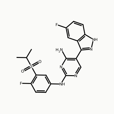 CC(C)S(=O)(=O)c1cc(Nc2ncc(-c3n[nH]c4ccc(F)cc34)c(N)n2)ccc1F